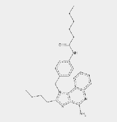 CCCCCC(=O)Nc1ccc(Cn2c(CCCC)nc3c(N)nc4ccccc4c32)cc1